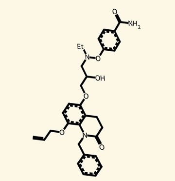 C=CCOc1ccc(OCC(O)CN(CC)Oc2ccc(C(N)=O)cc2)c2c1N(Cc1ccccc1)C(=O)CC2